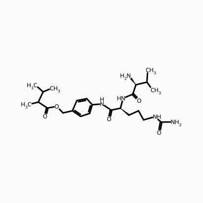 CC(C)C(C)C(=O)OCc1ccc(NC(=O)[C@H](CCCNC(N)=O)NC(=O)[C@@H](N)C(C)C)cc1